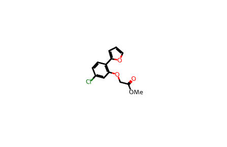 COC(=O)COc1cc(Cl)ccc1-c1ccco1